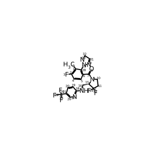 Cc1c(F)ccc(C(=O)N2CCC(F)(F)[C@H]2CNc2ccc(C(F)(F)F)cn2)c1-n1nccn1